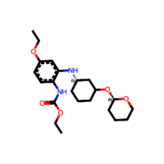 CCOC(=O)Nc1ccc(OCC)cc1N[C@H]1CCCC(O[C@@H]2CCCCO2)C1